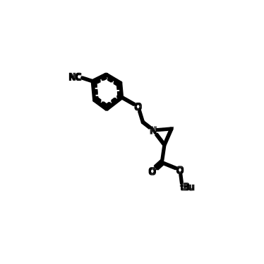 CC(C)(C)OC(=O)C1CN1COc1ccc(C#N)cc1